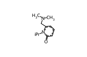 CC(C)n1c(CN(C)C)cccc1=O